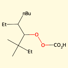 CCCCC(CC)C(OOC(=O)O)C(C)(C)CC